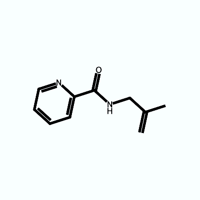 C=C(C)CNC(=O)c1ccccn1